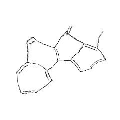 Cc1cccc2c1[nH]c1ccc3ccccc3c12